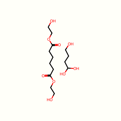 O=C(CCCCC(=O)OCCO)OCCO.OCCCC(O)O